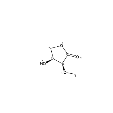 CO[C@@H]1C(=O)OC[C@@H]1O